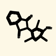 COc1c(C)cc(C)c(C2C(=O)c3ccccc3C2=O)c1C